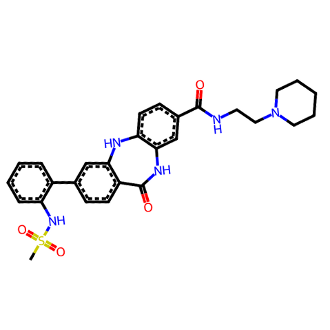 CS(=O)(=O)Nc1ccccc1-c1ccc2c(c1)Nc1ccc(C(=O)NCCN3CCCCC3)cc1NC2=O